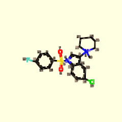 C[N+]1(c2cn(S(=O)(=O)c3ccc(F)cc3)c3ccc(Cl)cc23)CCCCC1